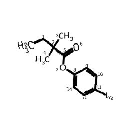 CCC(C)(C)C(=O)Oc1ccc(I)cc1